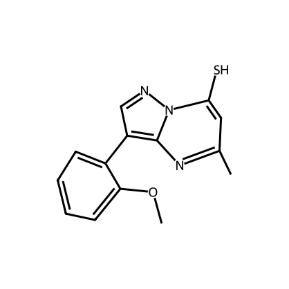 COc1ccccc1-c1cnn2c(S)cc(C)nc12